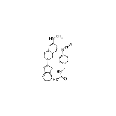 CNc1ccc2cc(-c3nc4ccccc4s3)ccc2c1.[N-]=[N+]=Nc1ccc(CNC(=O)O)cc1